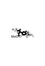 Bc1sc(C(=O)OC)c(-c2ccc(S(N)(=O)=O)c(C)c2)c1C